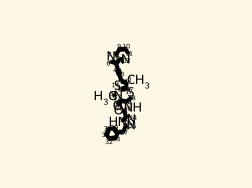 Cc1c(C#Cc2cnc3cccnn23)sc2c1SC[C@H](NC(=O)c1nnc(Cc3ccccc3)[nH]1)C(=O)N2C